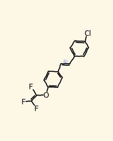 FC(F)=C(F)Oc1ccc(/C=C/c2ccc(Cl)cc2)cc1